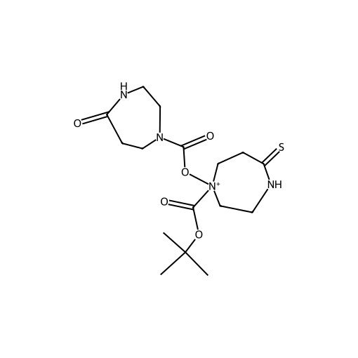 CC(C)(C)OC(=O)[N+]1(OC(=O)N2CCNC(=O)CC2)CCNC(=S)CC1